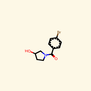 O=C(c1ccc(Br)cc1)N1CCC(O)C1